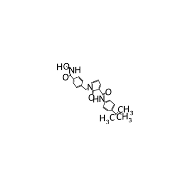 CC(C)(C)c1ccc(NC(=O)c2cccn(Cc3ccc(C(=O)NO)cc3)c2=O)cc1